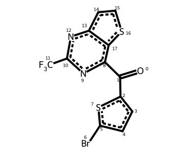 O=C(c1ccc(Br)s1)c1nc(C(F)(F)F)nc2ccsc12